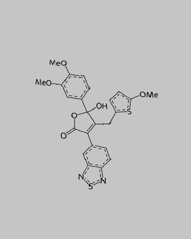 COc1ccc(CC2=C(c3ccc4nsnc4c3)C(=O)OC2(O)c2ccc(OC)c(OC)c2)s1